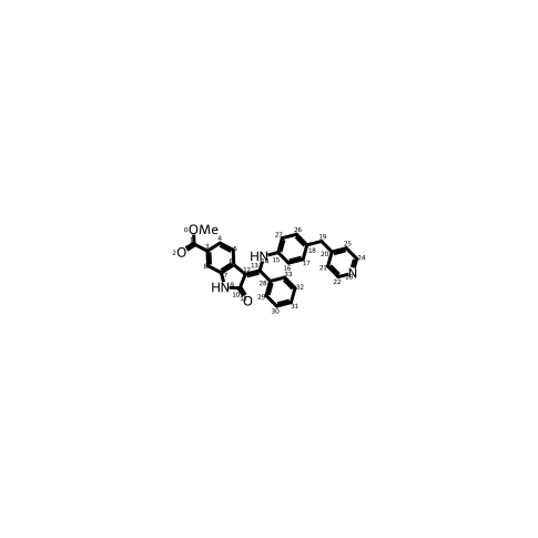 COC(=O)c1ccc2c(c1)NC(=O)C2=C(Nc1ccc(Cc2ccncc2)cc1)c1ccccc1